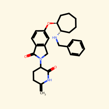 C=C1CCC(N2Cc3cc(O[C@H]4CCCCC[C@@H]4NCc4ccccc4)ccc3C2=O)C(=O)N1